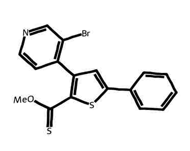 COC(=S)c1sc(-c2ccccc2)cc1-c1ccncc1Br